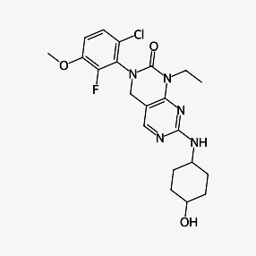 CCN1C(=O)N(c2c(Cl)ccc(OC)c2F)Cc2cnc(NC3CCC(O)CC3)nc21